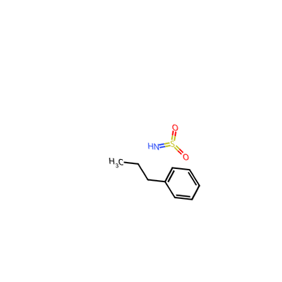 CCCc1ccccc1.N=S(=O)=O